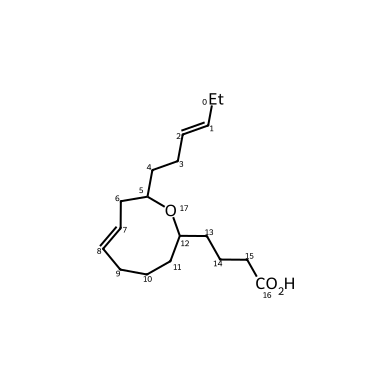 CCC=CCCC1C/C=C/CCCC(CCCC(=O)O)O1